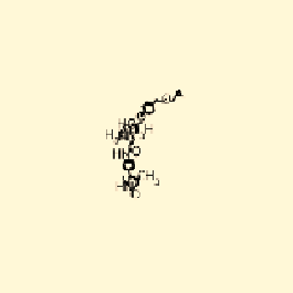 CC1CC(=O)NN=C1c1ccc(NC(=O)CCNCC(O)COc2ccc(CCOCC3CC3)cc2)cc1.CS(=O)(=O)O